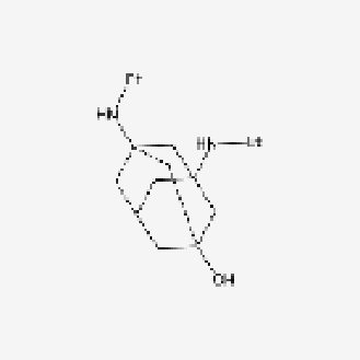 CCNC12CC3CC(O)(C1)CC(NCC)(C3)C2